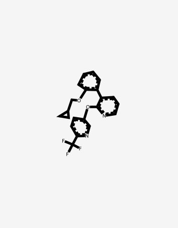 FC(F)(F)c1ccc(Oc2ncccc2-c2ccccc2OCC2CC2)cn1